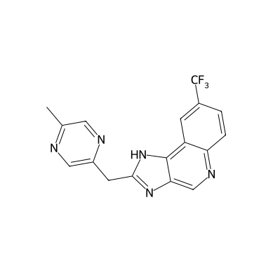 Cc1cnc(Cc2nc3cnc4ccc(C(F)(F)F)cc4c3[nH]2)cn1